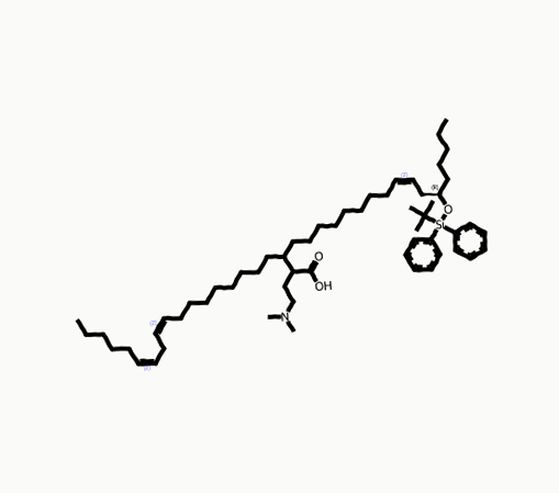 CCCCC/C=C\C/C=C\CCCCCCCCC(CCCCCCCC/C=C\C[C@@H](CCCCC)O[Si](c1ccccc1)(c1ccccc1)C(C)(C)C)C(CCN(C)C)C(=O)O